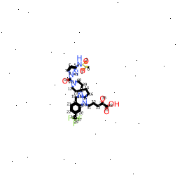 CS(=O)(=O)Nc1ccn(C(=O)N2CCC3(CCCN3Cc3ccc(C(F)(F)F)cc3NCCCC(=O)C(=O)O)CC2)n1